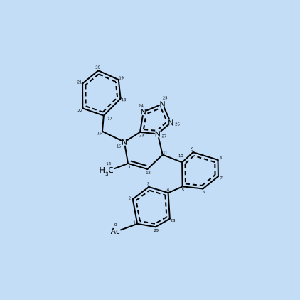 CC(=O)c1ccc(-c2ccccc2C2C=C(C)N(Cc3ccccc3)c3nnnn32)cc1